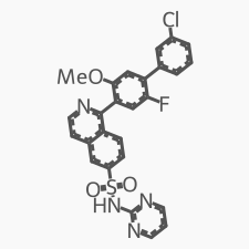 COc1cc(-c2cccc(Cl)c2)c(F)cc1-c1nccc2cc(S(=O)(=O)Nc3ncccn3)ccc12